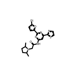 CCc1ccc(-c2nc(NC(=O)CN3C(C)CCC3C)cc(-c3nccs3)n2)o1